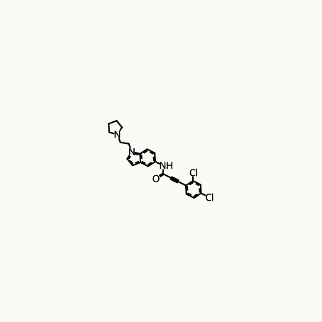 O=C(C#Cc1ccc(Cl)cc1Cl)Nc1ccc2c(ccn2CCN2CCCC2)c1